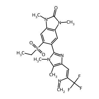 C=N/C(=C\c1nc(-c2cc3c(cc2S(=O)(=O)CC)n(C)c(=O)n3C)n(C)c1C)C(F)(F)F